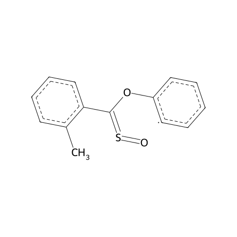 Cc1ccccc1C(Oc1[c]cccc1)=S=O